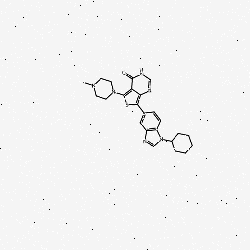 CN1CCN(c2sc(-c3ccc4c(c3)ncn4C3CCCCC3)c3nc[nH]c(=O)c23)CC1